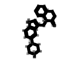 O=C1CCc2ccccc2N1Cc1c[nH]c2ccc(N3CCNCC3)cc12